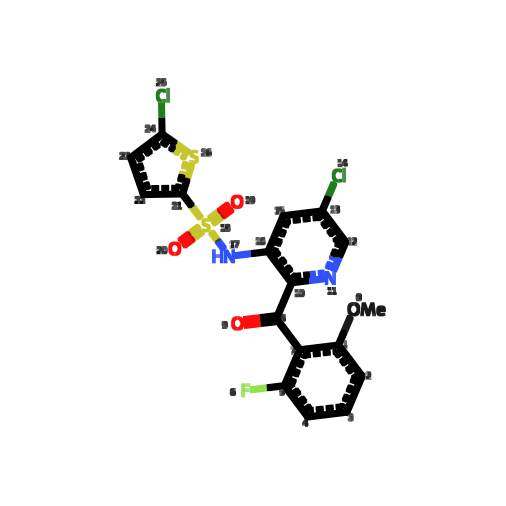 COc1cccc(F)c1C(=O)c1ncc(Cl)cc1NS(=O)(=O)c1ccc(Cl)s1